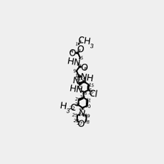 CCOC(=O)CNC(=O)Cc1nc2c([nH]1)C=C(Cl)C(C1=CC(C)C(N3CCOCC3)C=C1)N2